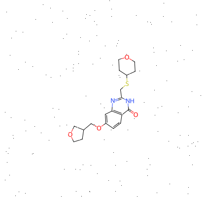 O=c1[nH]c(CSC2CCOCC2)nc2cc(OCC3CCOC3)ccc12